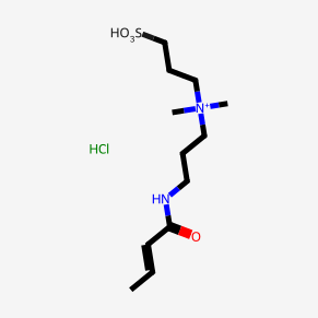 CC=CC(=O)NCCC[N+](C)(C)CCCS(=O)(=O)O.Cl